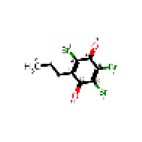 CCCC1=C(Br)C(=O)C(Br)=C(Br)C1=O